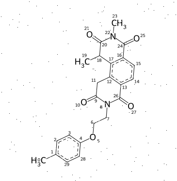 Cc1ccc(OCCN2C(=O)Cc3c(ccc4c3C(C)C(=O)N(C)C4=O)C2=O)cc1